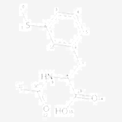 CSc1cccc(CC(NC(C)=O)C(=O)O)c1